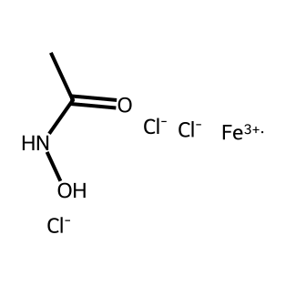 CC(=O)NO.[Cl-].[Cl-].[Cl-].[Fe+3]